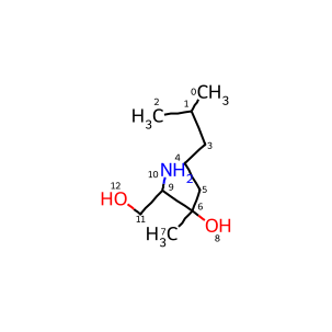 CC(C)CCCC(C)(O)C(N)CO